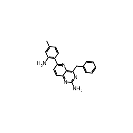 Cc1ccc(-c2ccc3nc(N)nc(Cc4ccccc4)c3n2)c(N)c1